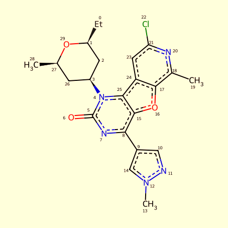 CC[C@H]1C[C@@H](n2c(=O)nc(-c3cnn(C)c3)c3oc4c(C)nc(Cl)cc4c32)C[C@@H](C)O1